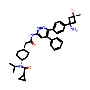 CC(C)N(C(=O)C1CC1)[C@H]1CC[C@H](CC(=O)Nc2cc(-c3ccccc3)c(-c3ccc([C@]4(N)C[C@](C)(O)C4)cc3)nn2)CC1